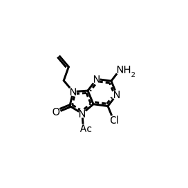 C=CCn1c(=O)n(C(C)=O)c2c(Cl)nc(N)nc21